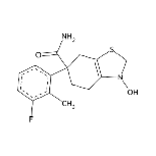 Cc1c(F)cccc1C1(C(N)=O)CCC2=C(C1)SCN2O